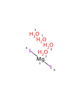 O.O.O.O.[I][Mg][I]